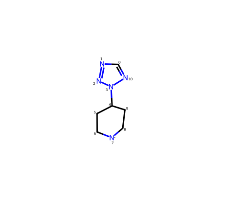 c1nnn(C2CC[N]CC2)n1